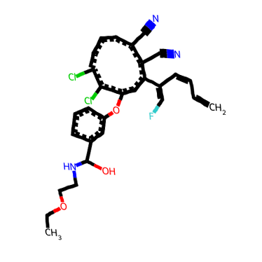 C=C/C=C\C(=C\F)c1cc(Oc2cccc(C(O)NCCOCC)c2)c(Cl)c(Cl)cccc(C#N)c1C#N